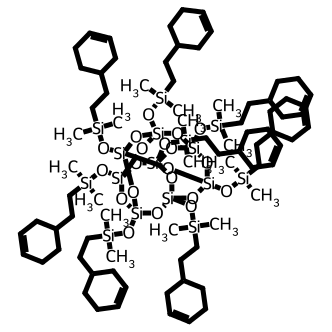 C[Si](C)(CCC1CC=CCC1)O[Si]12O[Si]3(O[Si](C)(C)CCC4CC=CCC4)O[Si]4(O[Si](C)(C)CCC5CC=CCC5)O[Si](O[Si](C)(C)CCC5CC=CCC5)(O1)O[Si]1(O[Si](C)(C)CCC5CC=CCC5)O[Si](O[Si](C)(C)CCC5CC=CCC5)(O2)O[Si](O[Si](C)(C)CCC2CC=CCC2)(O3)O[Si](O[Si](C)(C)CCC2CC=CCC2)(O4)O1